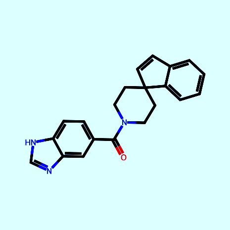 O=C(c1ccc2[nH]cnc2c1)N1CCC2(C=Cc3ccccc32)CC1